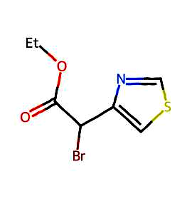 CCOC(=O)C(Br)c1cscn1